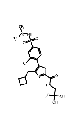 C[C@H](NS(=O)(=O)c1ccc(-c2sc(C(=O)NCC(C)(C)O)nc2CC2CCC2)c(Cl)c1)C(F)(F)F